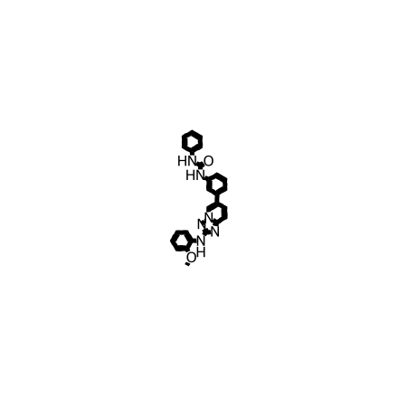 COc1ccccc1Nc1nc2ccc(-c3cccc(NC(=O)Nc4ccccc4)c3)cn2n1